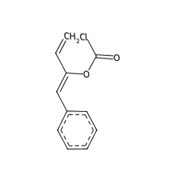 C=CC(=Cc1ccccc1)OC(=O)Cl